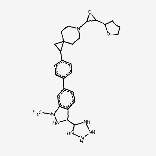 CN1NC(C2NNNN2)c2ccc(-c3ccc(C4CC45CCN(C4OC4C4CCCO4)CC5)cc3)cc21